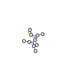 c1ccc(-c2ccc(N(c3ccc(-c4ccccc4)cc3)c3cc4c(cc3-c3ccccc3)c3cc(-c5ccccc5)ccc3n4-c3ccc4sc5ccccc5c4c3)cc2)cc1